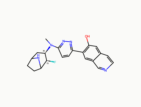 CN(c1ccc(-c2cc3cnccc3cc2O)nn1)[C@@H]1CC2CCC(N2)[C@@H]1F